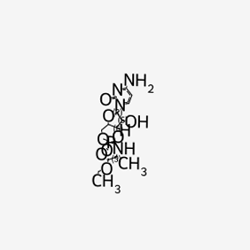 CCOC(=O)[C@H](C)NP1(=O)OCC2O[C@@H](n3ccc(N)nc3=O)[C@@H](O)[C@@H]2O1